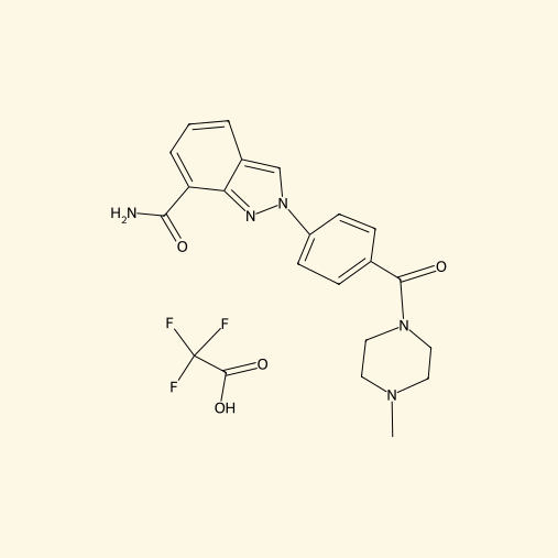 CN1CCN(C(=O)c2ccc(-n3cc4cccc(C(N)=O)c4n3)cc2)CC1.O=C(O)C(F)(F)F